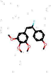 COc1ccc(/C(F)=C\c2cc(OC)c(OC)c(OC)c2)cc1